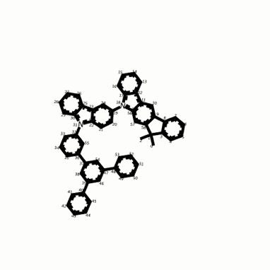 CC1(C)c2ccccc2-c2cc3c4ccccc4n(-c4ccc5c(c4)c4ccccc4n5-c4cccc(-c5cc(-c6ccccc6)cc(-c6ccccc6)c5)c4)c3cc21